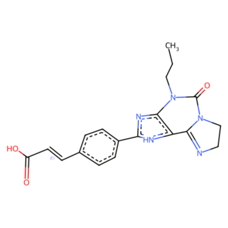 CCCN1C(=O)N2CCN=C2c2[nH]c(-c3ccc(/C=C/C(=O)O)cc3)nc21